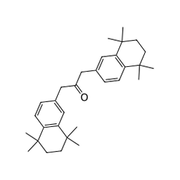 CC1(C)CCC(C)(C)c2cc(CC(=O)Cc3ccc4c(c3)C(C)(C)CCC4(C)C)ccc21